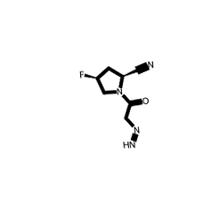 N#C[C@@H]1C[C@H](F)CN1C(=O)CN=N